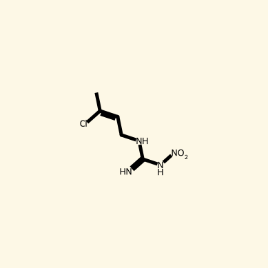 CC(Cl)=CCNC(=N)N[N+](=O)[O-]